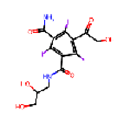 NC(=O)c1c(I)c(C(=O)CO)c(I)c(C(=O)NCC(O)CO)c1I